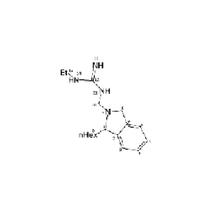 CCCCCCC1c2ccccc2CN1CNC(=N)NCC